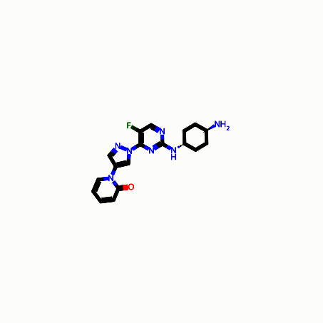 N[C@H]1CC[C@H](Nc2ncc(F)c(-n3cc(-n4ccccc4=O)cn3)n2)CC1